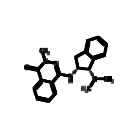 CN(C)[C@H]1c2ccccc2C[C@H]1Nc1nn(C)c(=O)c2ccccc12